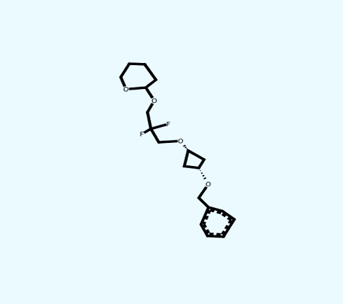 FC(F)(COC1CCCCO1)CO[C@H]1C[C@@H](OCc2ccccc2)C1